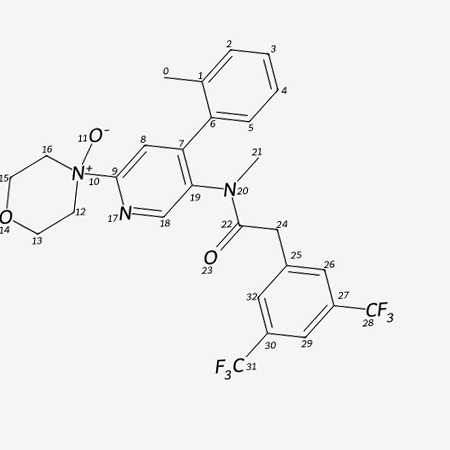 Cc1ccccc1-c1cc([N+]2([O-])CCOCC2)ncc1N(C)C(=O)Cc1cc(C(F)(F)F)cc(C(F)(F)F)c1